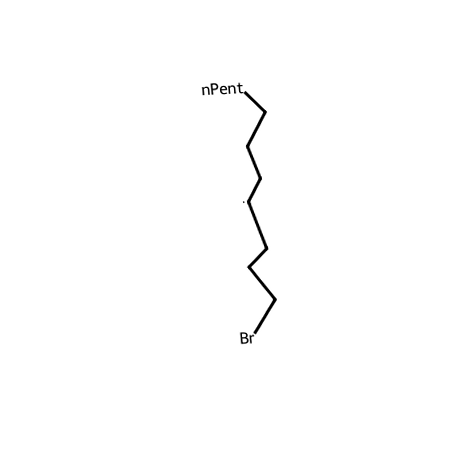 CCCCCCCC[CH]CCCBr